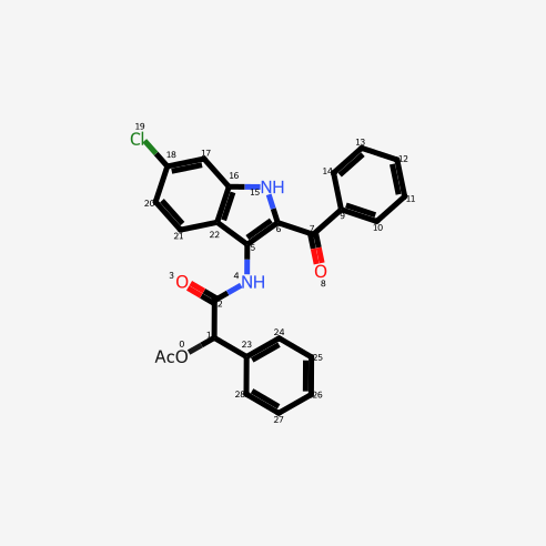 CC(=O)OC(C(=O)Nc1c(C(=O)c2ccccc2)[nH]c2cc(Cl)ccc12)c1ccccc1